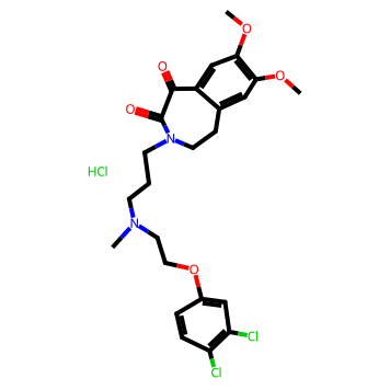 COc1cc2c(cc1OC)C(=O)C(=O)N(CCCN(C)CCOc1ccc(Cl)c(Cl)c1)CC2.Cl